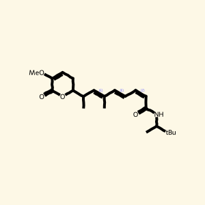 COC1=CCC(C(C)/C=C(C)/C=C/C=C\C(=O)NC(C)C(C)(C)C)OC1=O